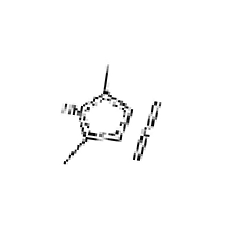 C=C=C.Cc1ccc(C)[nH]1